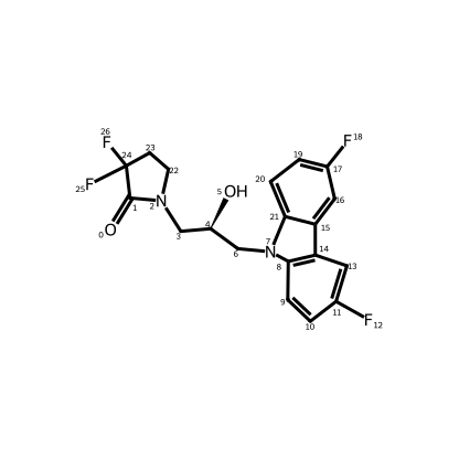 O=C1N(C[C@@H](O)Cn2c3ccc(F)cc3c3cc(F)ccc32)CCC1(F)F